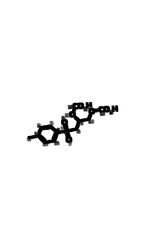 Cc1ccc(S(=O)(=O)CC(COC(=O)O)OC(=O)O)cc1